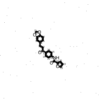 O=C(/C=C/c1ccc2c(c1)OCO2)c1ccc(NC(=O)c2ccco2)cc1